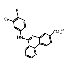 O=C(O)c1ccc2c(c1)nc(Nc1ccc(F)c(Cl)c1)c1cccnc12